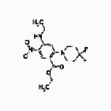 CCNc1cc(N2CCC(F)(F)CC2)c(C(=O)OCC)cc1[N+](=O)[O-]